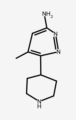 Cc1cc(N)nnc1C1CCNCC1